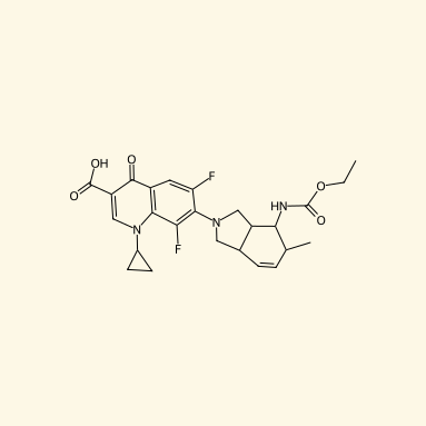 CCOC(=O)NC1C(C)C=CC2CN(c3c(F)cc4c(=O)c(C(=O)O)cn(C5CC5)c4c3F)CC21